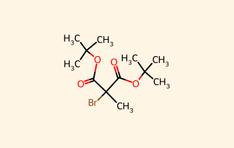 CC(C)(C)OC(=O)C(C)(Br)C(=O)OC(C)(C)C